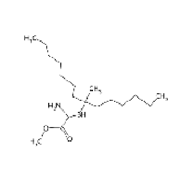 CCCCCCCC(C)(BC(N)C(=O)OC)CCCCCC